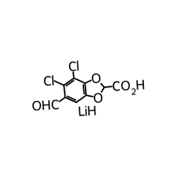 O=Cc1cc2c(c(Cl)c1Cl)OC(C(=O)O)O2.[LiH]